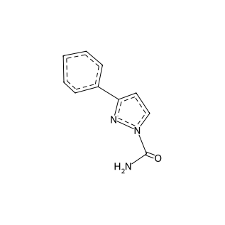 NC(=O)n1ccc(-c2ccccc2)n1